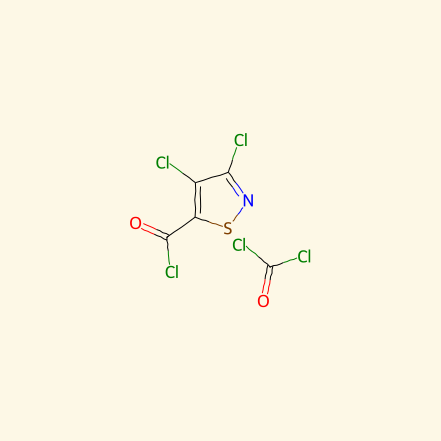 O=C(Cl)Cl.O=C(Cl)c1snc(Cl)c1Cl